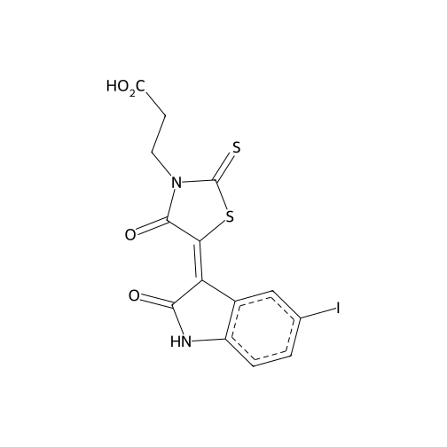 O=C(O)CCN1C(=O)C(=C2C(=O)Nc3ccc(I)cc32)SC1=S